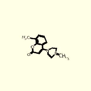 Cc1[c]ccc2c(N3CCN(C)CC3)cc(=O)oc12